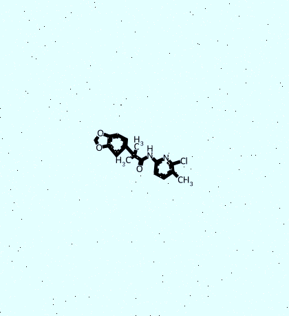 Cc1ccc(NC(=O)C(C)(C)c2ccc3c(c2)OCO3)nc1Cl